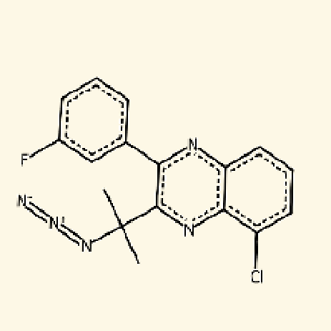 CC(C)(N=[N+]=[N-])c1nc2c(Cl)cccc2nc1-c1cccc(F)c1